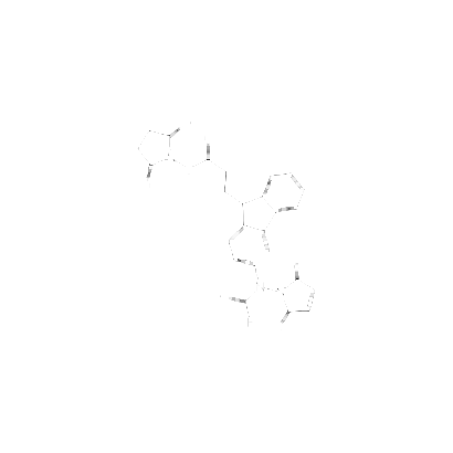 CCC(=O)N(c1ccc2c(c1)-c1ccccc1C2CCC(=O)ON1C(=O)CCC1=O)N1C(=O)C=CC1=O